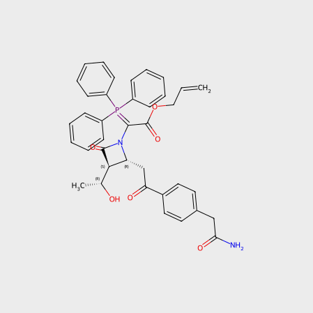 C=CCOC(=O)C(N1C(=O)[C@H]([C@@H](C)O)[C@H]1CC(=O)c1ccc(CC(N)=O)cc1)=P(c1ccccc1)(c1ccccc1)c1ccccc1